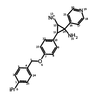 CC(C)c1ccc(COc2ccc(C3C(C#N)C3(N)c3ccncc3)cc2)cc1